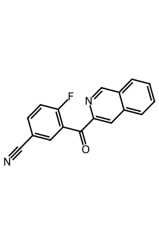 N#Cc1ccc(F)c(C(=O)c2cc3ccccc3cn2)c1